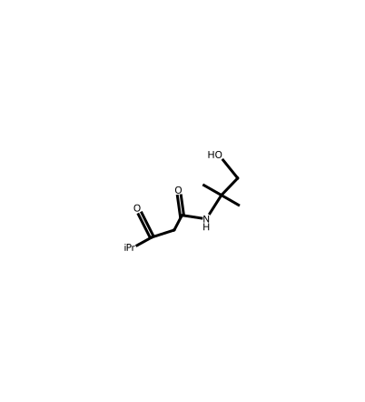 CC(C)C(=O)CC(=O)NC(C)(C)CO